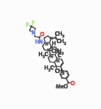 C=C(C)[C@@H]1CC[C@]2(NC(=O)CN3CC(F)(F)C3)CC[C@]3(C)[C@H](CCC4[C@@]5(C)CC=C(c6ccc(C(=O)OC)cc6)C(C)(C)C5CC[C@]43C)C12